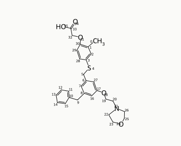 Cc1cc(SCc2cc(Cc3ccccc3)cc(OCCN3CCOCC3)c2)ccc1OCC(=O)O